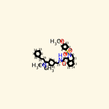 COc1ccc(S(=O)(=O)N2CCc3ccccc3C2CC(=O)NCC2CCC(C(CCc3ccccc3)N(C)C)CC2)cc1